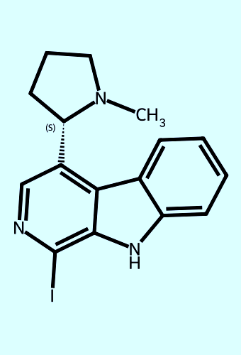 CN1CCC[C@H]1c1cnc(I)c2[nH]c3ccccc3c12